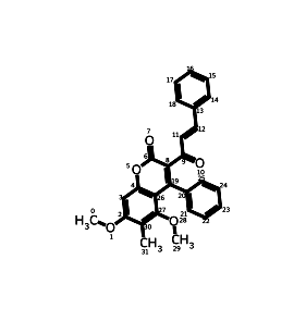 COc1cc2oc(=O)c(C(=O)C=Cc3ccccc3)c(-c3ccccc3)c2c(OC)c1C